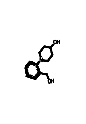 OCc1c[c]ccc1N1CCC(O)CC1